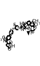 Cn1nc(C2CCC(=O)NC2=O)c2ccc(N3CCN(C[C@H]4CCN(c5ncc(Cl)c(Nc6ccc7c(c6)c6c(c(=O)n7C)OCC(F)(F)[C@H](C7CC7)N6)n5)C[C@@H]4F)CC3)cc21